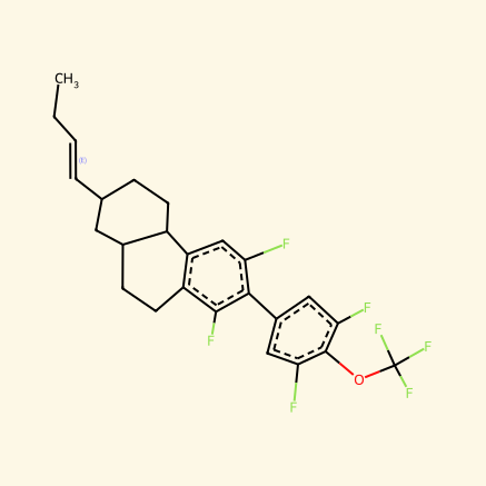 CC/C=C/C1CCC2c3cc(F)c(-c4cc(F)c(OC(F)(F)F)c(F)c4)c(F)c3CCC2C1